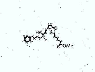 COC(=O)CCCC=CCN1C(=O)CC[C@@H]1C=C[C@H](O)[C@@H](C)CCCCc1ccccc1